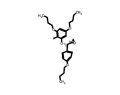 CCCCOc1ccc([C@H](Oc2cc(OCCCC)cc(OCCCC)c2I)[C@H]2CO2)cc1